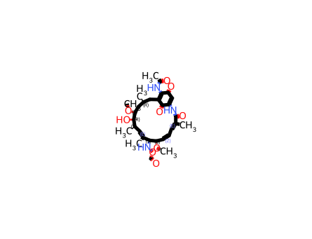 CO[C@H]1/C=C\C=C(/C)C(=O)NC2=CC(=O)C(NC(C)=O)=C(C[C@@H](C)C[C@H](OC)[C@H](O)[C@@H](C)/C=C(\C)[C@@H]1NOC=O)C2=O